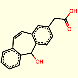 O=C(O)Cc1ccc2c(c1)C=Cc1ccccc1C2O